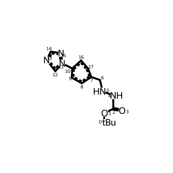 CC(C)(C)OC(=O)NNCc1ccc(-n2cncn2)cc1